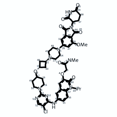 CNC(=O)COc1cc2cc(Nc3nc(N4CCC(O[C@H]5C[C@H](N6CCN(c7cc(OC)c8c(c7)C(=O)N(C7CCC(=O)NC7=O)C8=O)CC6)C5)CC4)ncc3Cl)ccc2n(C(C)C)c1=O